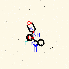 O=C(NC1CC2COCC(C1)N2Cc1ccc(F)cc1)c1n[nH]c2ccccc12